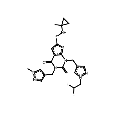 C=C1N(Cc2cnn(C)c2)C(=O)c2cc(SNC3(C)CC3)sc2N1Cc1cnn(CC(F)F)c1